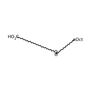 CCCCCCCCC=CCCCCCCCCCCCCCC(=O)OCCCCCCCCCCCCCCCCCCCCCCCCCCCCCC(=O)O